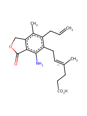 C=CCc1c(C)c2c(c(N)c1C/C=C(\C)CCC(=O)O)C(=O)OC2